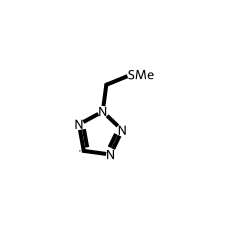 CSCn1n[c]nn1